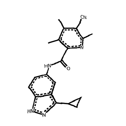 Cc1nc(C(=O)Nc2ccc3[nH]nc(C4CC4)c3c2)c(C)c(C)c1C#N